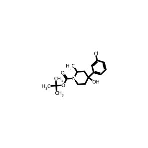 CC1CC(O)(c2cccc(Cl)c2)CCN1C(=O)OC(C)(C)C